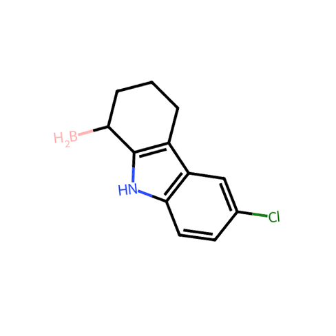 BC1CCCc2c1[nH]c1ccc(Cl)cc21